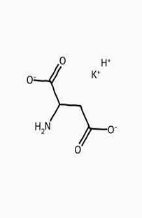 NC(CC(=O)[O-])C(=O)[O-].[H+].[K+]